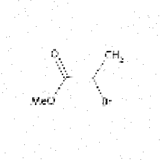 [CH2]C(Br)C(=O)OC